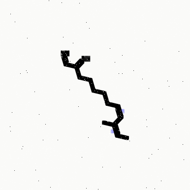 C/C=C(C)\C=C/CCCCCC(=N)C=N